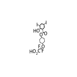 O=C(OC1CCC(OC(F)(F)C(=O)O)CC1)c1cc(I)cc(I)c1O